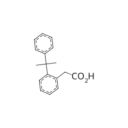 CC(C)(c1ccccc1)c1ccccc1CC(=O)O